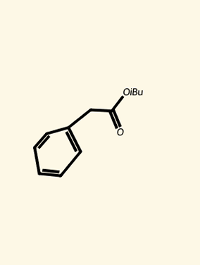 CC(C)COC(=O)Cc1ccccc1